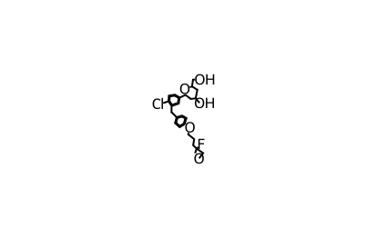 OCC1CC(O)CC(c2ccc(Cl)c(Cc3ccc(OCCCC4(F)COC4)cc3)c2)O1